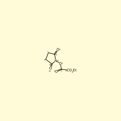 CCOC(=O)C(=O)ON1C(=O)CCC1=O